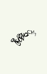 Cc1cccc(N2CCOc3cc(C(=O)N4CCCCC4)cnc32)c1